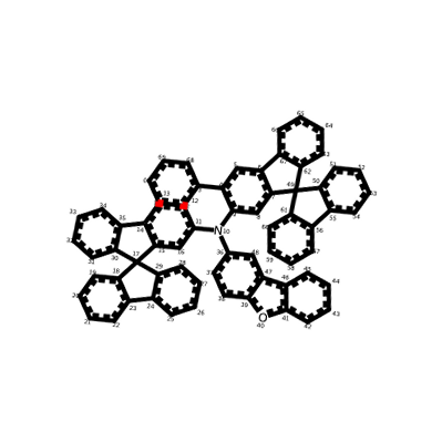 c1ccc(-c2cc3c(cc2N(c2ccc4c(c2)C2(c5ccccc5-c5ccccc52)c2ccccc2-4)c2ccc4oc5ccccc5c4c2)C2(c4ccccc4-c4ccccc42)c2ccccc2-3)cc1